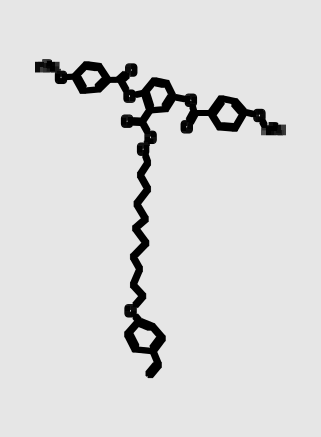 C=Cc1ccc(OCCCCCCCCCCCOOC(=O)c2cc(OC(=O)c3ccc(OCCCC)cc3)ccc2OC(=O)c2ccc(OCCCC)cc2)cc1